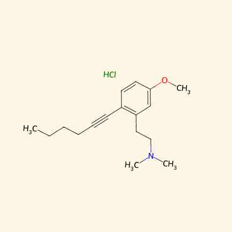 CCCCC#Cc1ccc(OC)cc1CCN(C)C.Cl